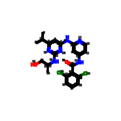 CC(C)c1cc(Nc2cc(NC(=O)c3c(Cl)cccc3Cl)ccn2)nc(N[C@@H](C)CO)n1